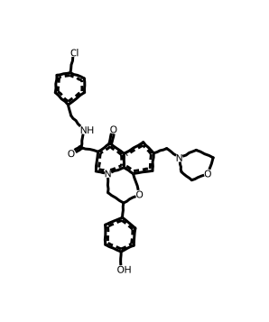 O=C(NCc1ccc(Cl)cc1)c1cn2c3c(cc(CN4CCOCC4)cc3c1=O)OC(c1ccc(O)cc1)C2